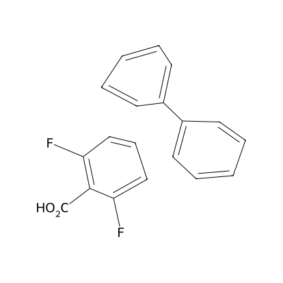 O=C(O)c1c(F)cccc1F.c1ccc(-c2ccccc2)cc1